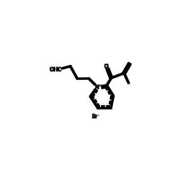 C=C(C)C(=O)c1cccc[n+]1CCCC=O.[Br-]